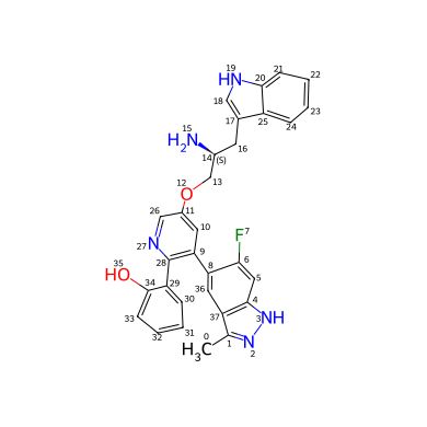 Cc1n[nH]c2cc(F)c(-c3cc(OC[C@@H](N)Cc4c[nH]c5ccccc45)cnc3-c3ccccc3O)cc12